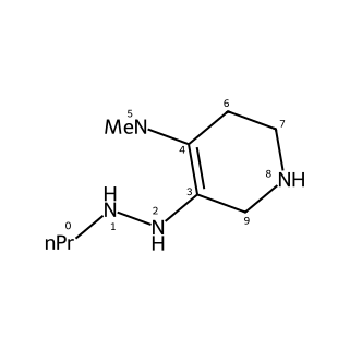 CCCNNC1=C(NC)CCNC1